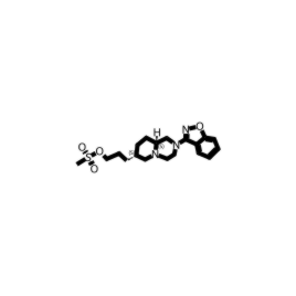 CS(=O)(=O)OCCC[C@@H]1CC[C@H]2CN(c3noc4ccccc34)CCN2C1